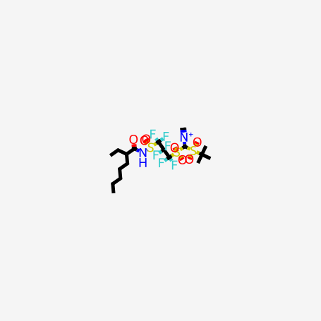 C#[N+]C(S(=O)(=O)C(C)(C)C)S(=O)(=O)C(F)(F)C(F)(F)C(F)(F)S(=O)(=O)NC(=O)C(CC)CCCCC